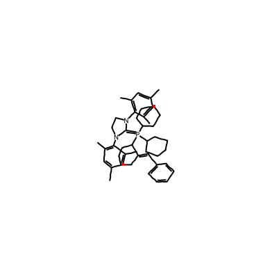 Cc1cc(C)c(N2CCN(c3c(C)cc(C)cc3C)C2=P(C2CCCCC2)(C2CCCCC2)C2CCCCC2=Cc2ccccc2)c(C)c1